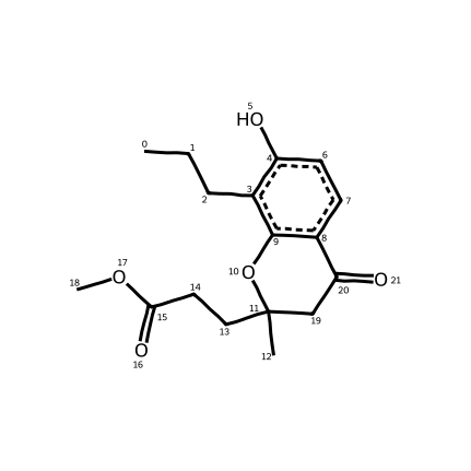 CCCc1c(O)ccc2c1OC(C)(CCC(=O)OC)CC2=O